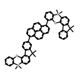 CC1(C)c2cc(-c3ccc4ccc5c(-c6cccc7c6Oc6c(ccc8c6-c6ccccc6C8(C)C)[Si]7(C)C)ccc6ccc3c4c65)ccc2-c2c1ccc1c2Oc2ccccc2[Si]1(C)C